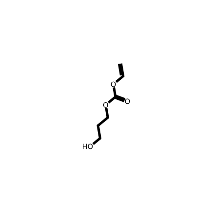 C=COC(=O)OCCCO